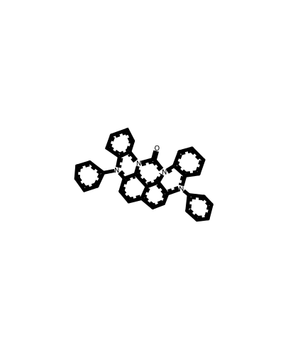 O=c1n2c3ccccc3n(-c3ccccc3)c3ccc4ccc5c(c4c32)n1c1ccccc1n5-c1ccccc1